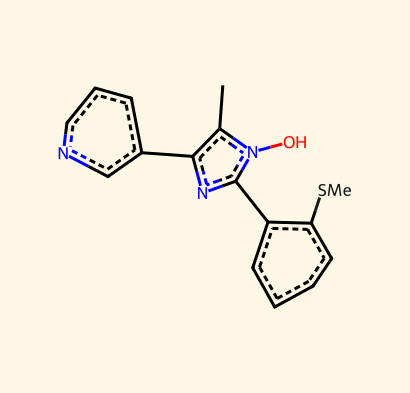 CSc1ccccc1-c1nc(-c2cccnc2)c(C)n1O